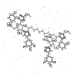 Cc1nc(C(COCCCCCCCCOC2C(c3nc(C)nn3-c3cc(Cl)ccc3Cl)OC(CO)C(O)C2n2cc(-c3cc(F)c(Cl)c(F)c3)nn2)OC2(CO)CC(n3cc(-c4cc(F)c(Cl)c(F)c4)nn3)C2O)n(-c2cc(Cl)ccc2Cl)n1